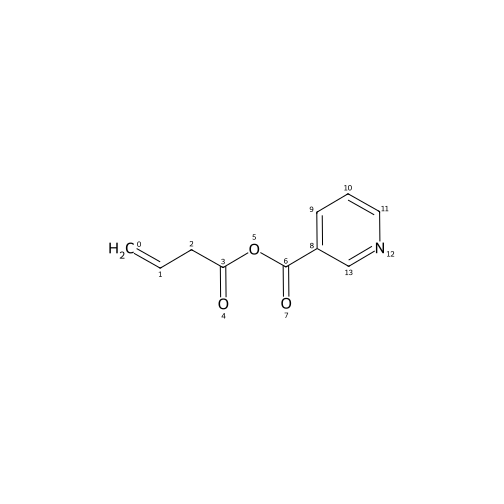 C=CCC(=O)OC(=O)c1cccnc1